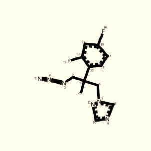 CC(CN=[N+]=[N-])(Cn1cncn1)c1ccc(F)cc1F